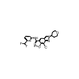 CC(C)Oc1c(C(=O)Nc2cccc(C(F)F)n2)cc2cn(C3CCOCC3)nc2c1Cl